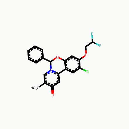 O=C(O)c1cn2c(cc1=O)-c1cc(Cl)c(OCC(F)F)cc1OC2c1ccccc1